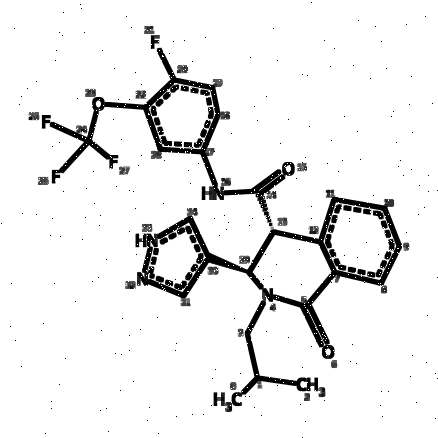 CC(C)CN1C(=O)c2ccccc2[C@@H](C(=O)Nc2ccc(F)c(OC(F)(F)F)c2)[C@@H]1c1cn[nH]c1